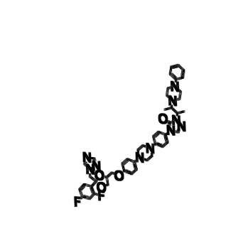 CC(C(C)n1ncn(-c2ccc(N3CCN(c4ccc(OCC5COC(Cn6cncn6)(c6ccc(F)cc6F)O5)cc4)CC3)cc2)c1=O)N1CCN(c2ccccc2)CC1